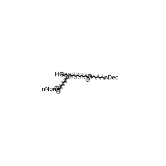 CCCCCCCCCCCCCCCCCOC(=O)CCCCCCCCCN(CCO)CCCCCCCC(=O)OCCCCCCCCC